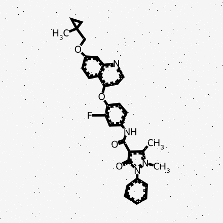 Cc1c(C(=O)Nc2ccc(Oc3ccnc4cc(OCC5(C)CC5)ccc34)c(F)c2)c(=O)n(-c2ccccc2)n1C